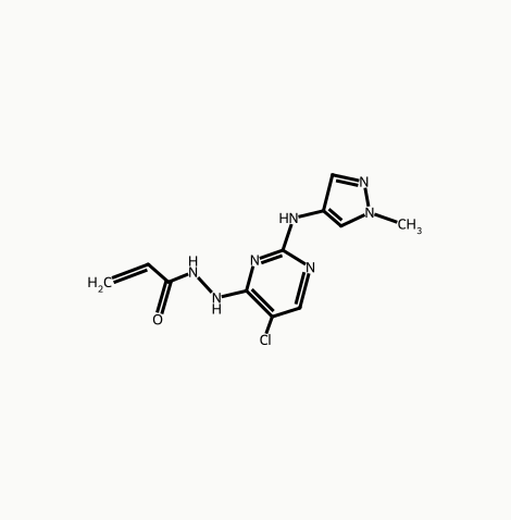 C=CC(=O)NNc1nc(Nc2cnn(C)c2)ncc1Cl